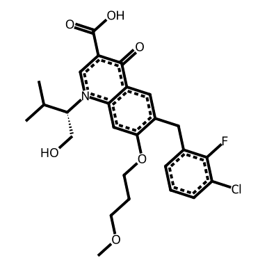 COCCCOc1cc2c(cc1Cc1cccc(Cl)c1F)c(=O)c(C(=O)O)cn2[C@H](CO)C(C)C